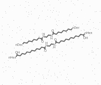 CCCCCCC(O)CCCCCCCCCCC(=O)NCCNC(=O)CCCCCCCCCCC(O)CCCCCC.CCCCCCCCCCCCCCCCCC(=O)NCCNC(=O)CCCCCCCCCCCCCCCCC